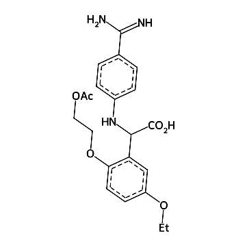 CCOc1ccc(OCCOC(C)=O)c(C(Nc2ccc(C(=N)N)cc2)C(=O)O)c1